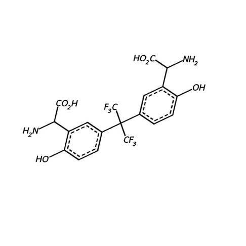 NC(C(=O)O)c1cc(C(c2ccc(O)c(C(N)C(=O)O)c2)(C(F)(F)F)C(F)(F)F)ccc1O